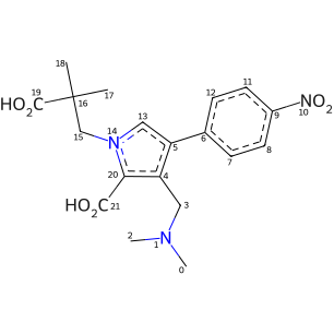 CN(C)Cc1c(-c2ccc([N+](=O)[O-])cc2)cn(CC(C)(C)C(=O)O)c1C(=O)O